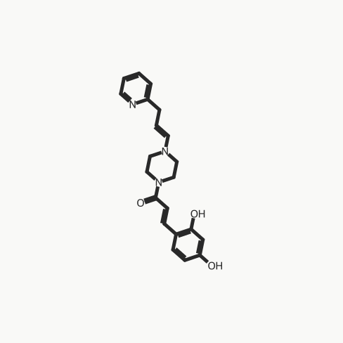 O=C(/C=C/c1ccc(O)cc1O)N1CCN(/C=C/Cc2ccccn2)CC1